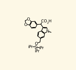 CC(C)[Si](OCc1ccc2c(C(C(=O)O)c3ccc4c(c3)OCO4)cn(C)c2c1)(C(C)C)C(C)C